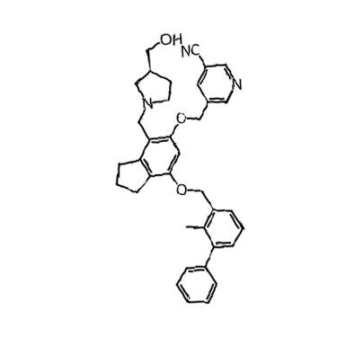 Cc1c(COc2cc(OCc3cncc(C#N)c3)c(CN3CC[C@H](CO)C3)c3c2CCC3)cccc1-c1ccccc1